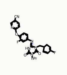 CCCn1c(=O)[nH]/c(=N\c2ccc(Oc3ccc(C#N)cn3)c(F)c2)n(CC2C=CC(F)=CC2)c1=O